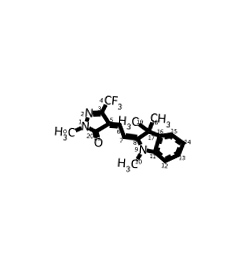 CN1N=C(C(F)(F)F)/C(=C/C=C2/N(C)c3ccccc3C2(C)C)C1=O